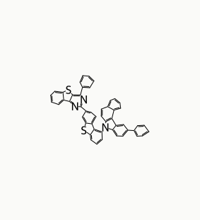 c1ccc(-c2ccc3c(c2)c2c4ccccc4ccc2n3-c2cccc3sc4cc(-c5nc(-c6ccccc6)c6sc7ccccc7c6n5)ccc4c23)cc1